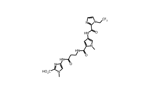 Cn1cc(NC(=O)c2nccn2CC(F)(F)F)cc1C(=O)NCCC(=O)Nc1cn(C)c(C(=O)O)n1